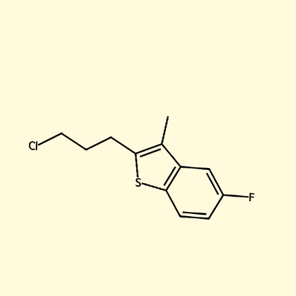 Cc1c(CCCCl)sc2ccc(F)cc12